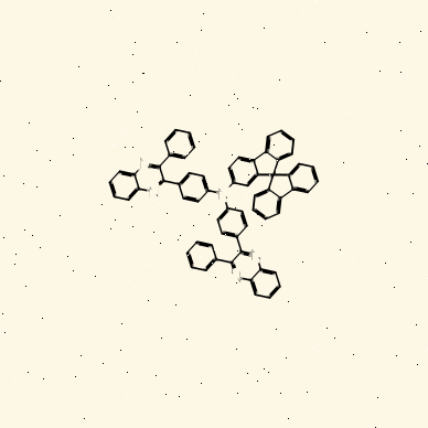 c1ccc(-c2nc3ccccc3nc2-c2ccc(N(c3ccc(-c4nc5ccccc5nc4-c4ccccc4)cc3)c3ccc4c(c3)C3(c5ccccc5-c5ccccc53)c3ccccc3-4)cc2)cc1